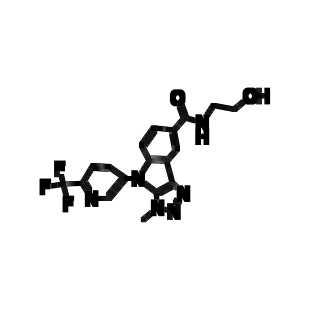 Cn1nnc2c3cc(C(=O)NCCO)ccc3n(-c3ccc(C(F)(F)F)nc3)c21